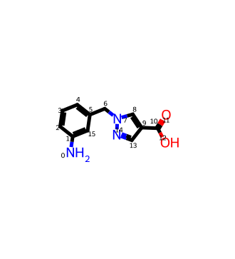 Nc1cccc(Cn2cc(C(=O)O)cn2)c1